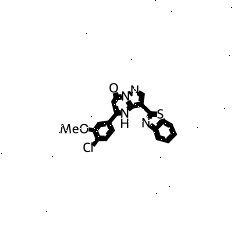 COc1cc(-c2cc(=O)n3ncc(-c4nc5ccccc5s4)c3[nH]2)ccc1Cl